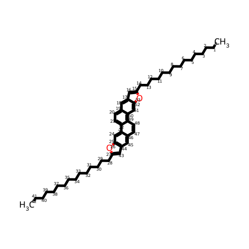 CCCCCCCCCCCCCCCc1cc2cc3ccc4c5cc6oc(CCCCCCCCCCCCCCC)cc6cc5ccc4c3cc2o1